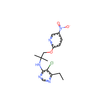 CCc1ncnc(NC(C)(C)COc2ccc([N+](=O)[O-])cn2)c1Cl